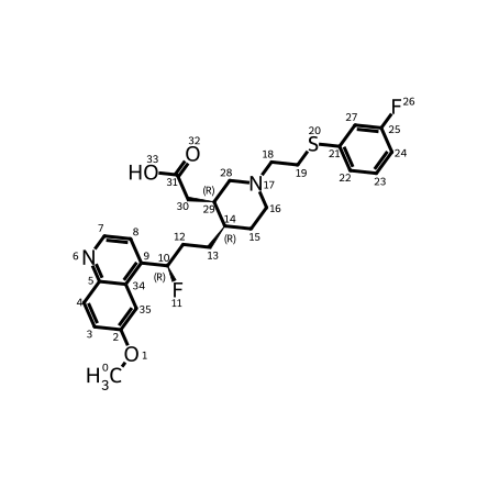 COc1ccc2nccc([C@H](F)CC[C@@H]3CCN(CCSc4cccc(F)c4)C[C@@H]3CC(=O)O)c2c1